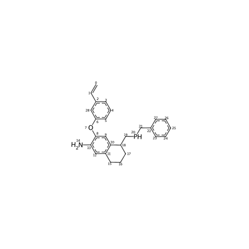 C=Cc1cccc(Oc2cc3c(cc2N)CCCC3CPCc2ccccc2)c1